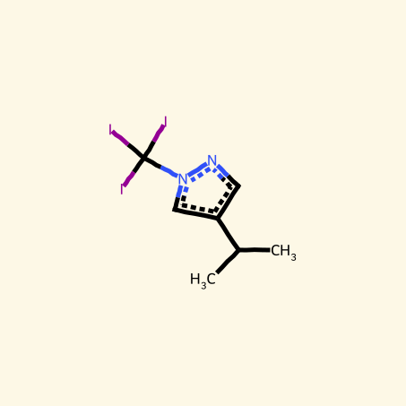 CC(C)c1cnn(C(I)(I)I)c1